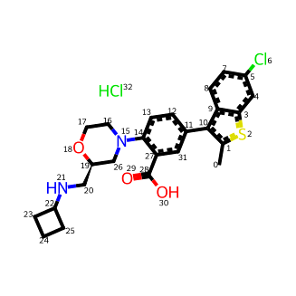 Cc1sc2cc(Cl)ccc2c1-c1ccc(N2CCO[C@H](CNC3CCC3)C2)c(C(=O)O)c1.Cl